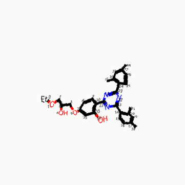 CCOCC(O)COc1ccc(-c2nc(-c3ccc(C)cc3C)nc(-c3ccc(C)cc3C)n2)c(O)c1